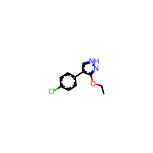 CCOc1n[nH]cc1-c1ccc(Cl)cc1